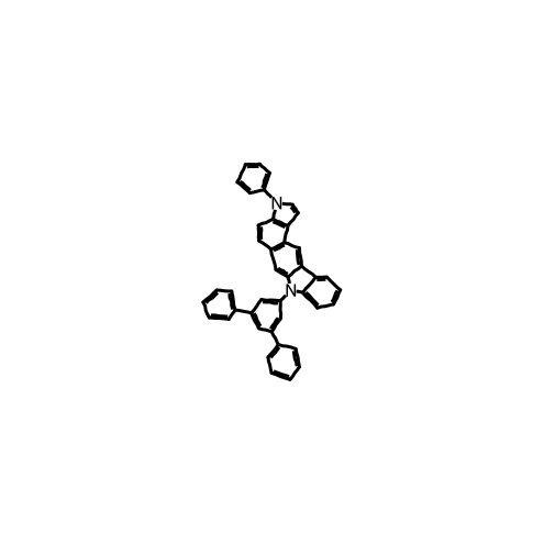 c1ccc(-c2cc(-c3ccccc3)cc(-n3c4ccccc4c4cc5c(ccc6c5ccn6-c5ccccc5)cc43)c2)cc1